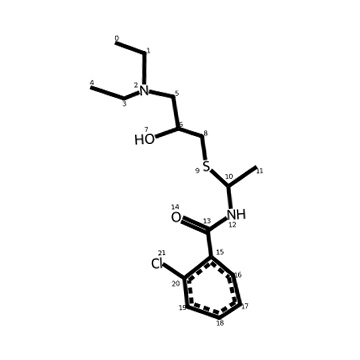 CCN(CC)CC(O)CSC(C)NC(=O)c1ccccc1Cl